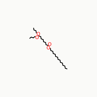 CCCCCCCCCCCCCCCOC(=O)CCCCCCC(OCCCC)OCCCC